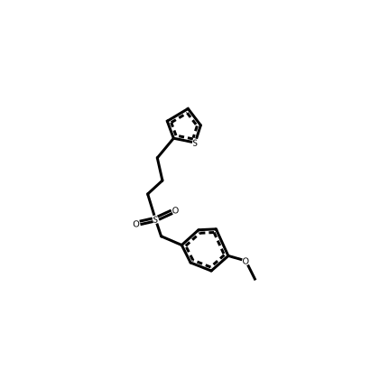 COc1ccc(CS(=O)(=O)CCCc2cccs2)cc1